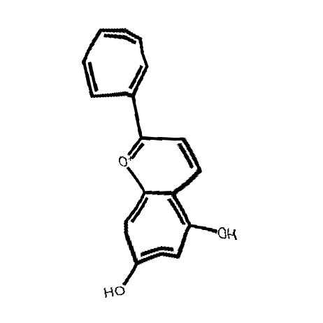 Oc1cc(O)c2ccc(-c3ccccc3)[o+]c2c1